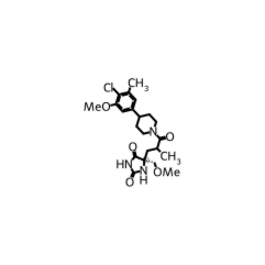 COC[C@]1(CC(C)C(=O)N2CCC(c3cc(C)c(Cl)c(OC)c3)CC2)NC(=O)NC1=O